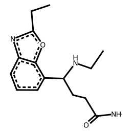 CCNC(CCC([NH])=O)c1cccc2nc(CC)oc12